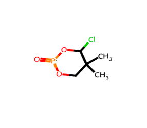 CC1(C)CO[P](=O)OC1Cl